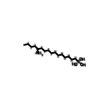 CCCCC(N)CCCCCCCCCCC[Si](O)(O)O